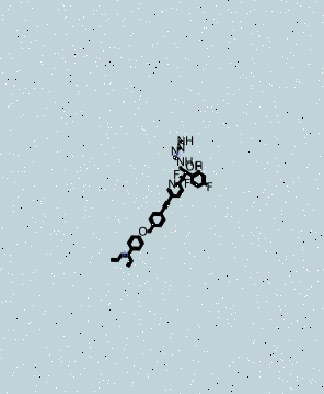 C=C/C=C(\C=C)c1ccc(OCc2ccc(C#Cc3ccc(C(F)(F)C(O)(CN/C=N\N=N)c4ccc(F)cc4F)nc3)cc2)cc1